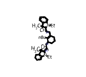 CCCCC1=C(/C=C/C2=[N+](CC)c3ccccc3C2(C)C)CCC/C1=C\C=C1\N(CC)c2ccccc2C1(C)C